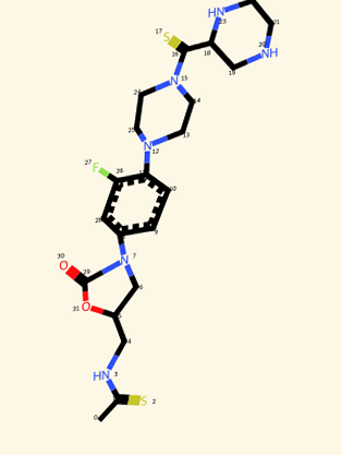 CC(=S)NCC1CN(c2ccc(N3CCN(C(=S)C4CNCCN4)CC3)c(F)c2)C(=O)O1